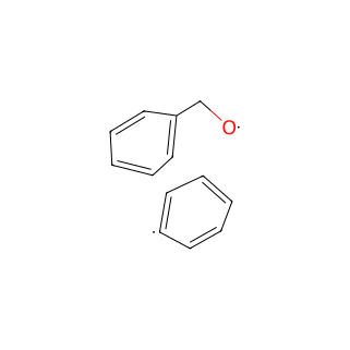 [O]Cc1ccccc1.[c]1ccccc1